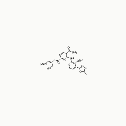 CN/C=C(\C=N)CNc1ncc(C(N)=O)c(Nc2cccc(-c3nnc(C)o3)c2OC)n1